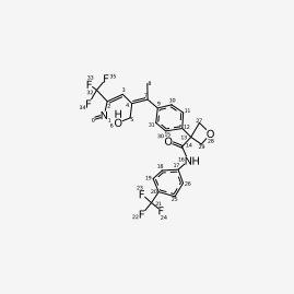 C=N/C(=C\C(CO)=C(/C)c1ccc(C2(C(=O)Nc3ccc(C(F)(F)F)cc3)COC2)cc1)C(F)(F)F